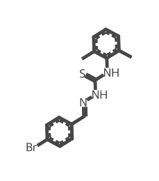 Cc1cccc(C)c1NC(=S)N/N=C/c1ccc(Br)cc1